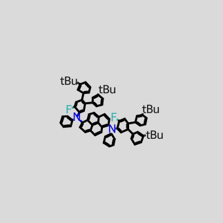 CC(C)(C)c1cccc(-c2cc(F)c(N(c3ccccc3)c3ccc4ccc5c(N(c6ccccc6)c6cc(-c7cccc(C(C)(C)C)c7)c(-c7cccc(C(C)(C)C)c7)cc6F)ccc6ccc3c4c65)cc2-c2cccc(C(C)(C)C)c2)c1